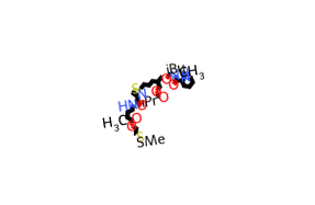 CCCC(=O)OCC(CCCc1nc(C(=O)NCC[C@H](C)C(=O)OCCSSC)cs1)CO[C@@H](NC(=O)C1CCCCN1C)C(C)CC